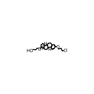 C[C@]12CC[C@@H]3c4ccc(OCCCCl)cc4CC[C@H]3[C@@H]1CC[C@@H]2OCCCO